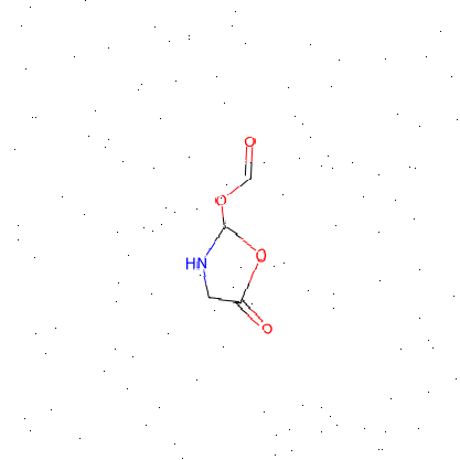 O=COC1NCC(=O)O1